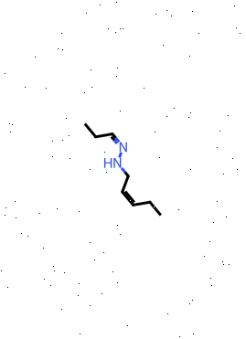 CC/C=C\CN/N=C\CC